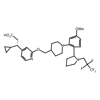 COc1ccc(C2CCCN2CC(F)(F)C(F)(F)F)c(N2CCC(COc3cc([C@@H](CC(=O)O)C4CC4)ccn3)CC2)c1